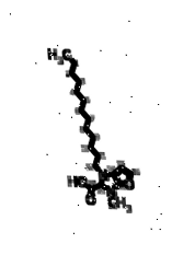 CCCCCCCCCCCCCN1c2ccoc2N(C)C1C(=O)O